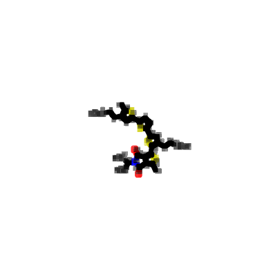 CCCCCCCCCCCCc1cc(-c2ccc(-c3cc(CCCCCCCCCCCC)c(-c4sc(C)c5c4C(=O)N(C(CCCC)CCCC)C5=O)s3)s2)sc1C